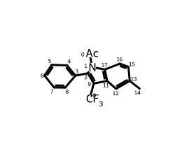 CC(=O)n1c(-c2ccccc2)c(C(F)(F)F)c2cc(C)ccc21